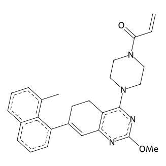 C=CC(=O)N1CCN(c2nc(OC)nc3c2CCC(c2cccc4cccc(C)c24)=C3)CC1